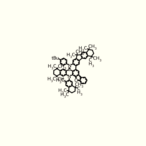 Cc1cc2c(cc1N1c3cc4c(cc3B3c5c(cc6c(oc7ccccc76)c51)-c1cc5c(cc1N3c1ccc(C(C)(C)C)cc1)C(C)(C)c1cc3c(cc1-5)C(C)(C)CCC3(C)C)C(C)(C)CCC4(C)C)C(C)(C)CCC2(C)C